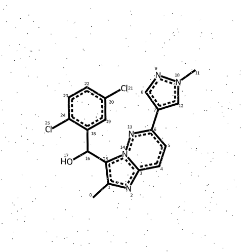 Cc1nc2ccc(-c3cnn(C)c3)nn2c1C(O)c1cc(Cl)ccc1Cl